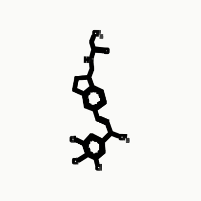 O=C(CC(F)(F)F)NCC1CCc2cc(/C=C/C(c3cc(Cl)c(Cl)c(Cl)c3)C(F)(F)F)ccc21